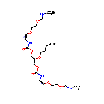 CCOC(=O)NCOCCO/C=C\NC(=O)OCC(COC(=O)N/C=C\OCCOCNC(=O)OCC)OCCCC=O